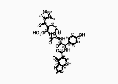 Cn1nnnc1C(=S)C1=C(C(=O)O)N2C(=O)C(NC(=O)C(NC(=O)c3c[nH]c4scnc4c3=O)c3ccc(O)cc3)[C@@H]2SC1